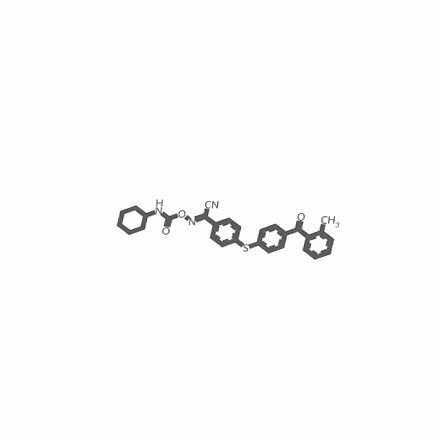 Cc1ccccc1C(=O)c1ccc(Sc2ccc(/C(C#N)=N/OC(=O)NC3CCCCC3)cc2)cc1